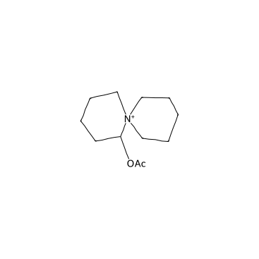 CC(=O)OC1CCCC[N+]12CCCCC2